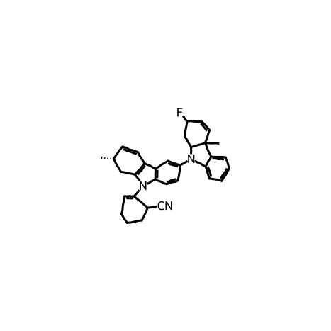 C[C@@H]1C=Cc2c(n(C3=CCCCC3C#N)c3ccc(N4c5ccccc5C5(C)C=CC(F)CC45)cc23)C1